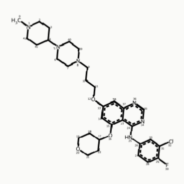 CN1CCC(N2CCN(CCCOc3cc(OC4CCOCC4)c4c(Nc5ccc(F)c(Cl)c5)ncnc4c3)CC2)CC1